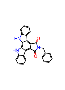 O=C1c2c(c3c4ccccc4[nH]c3c3[nH]c4ccccc4c23)C(=O)N1Cc1ccccc1